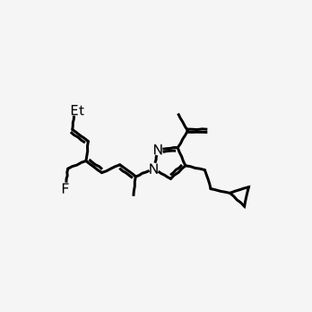 C=C(C)c1nn(/C(C)=C/C=C(\C=C\CC)CF)cc1CCC1CC1